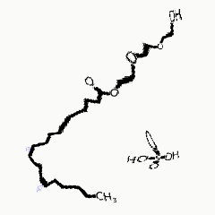 CCCCC/C=C\C/C=C\CCCCCCCC(=O)OCCOCCOCCO.O=S(=O)(O)O